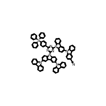 N#Cc1ccc2c(c1)c1ccccc1n2-c1ccc2c(c1)c1ccccc1n2-c1nc(-c2ccc([Si](c3ccccc3)(c3ccccc3)c3ccccc3)cc2)nc(-n2c3ccc(-n4c5ccccc5c5ccccc54)cc3c3cc(-n4c5ccccc5c5ccccc54)ccc32)n1